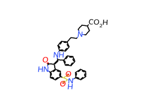 O=C1Nc2ccc(S(=O)(=O)Nc3ccccc3)cc2C1=C(Nc1ccc(CCN2CCC(C(=O)O)CC2)cc1)c1ccccc1